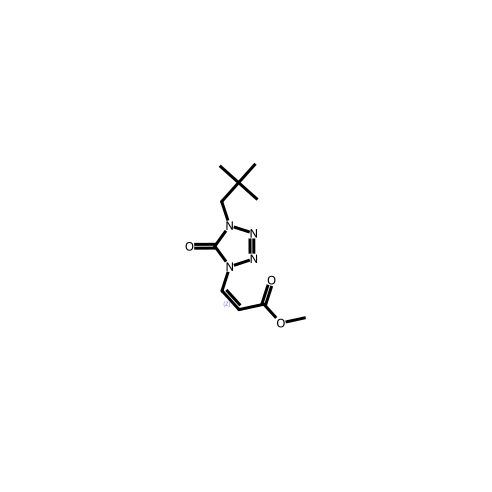 COC(=O)/C=C\n1nnn(CC(C)(C)C)c1=O